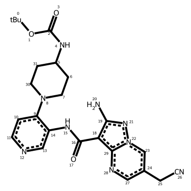 CC(C)(C)OC(=O)NC1CCN(c2ccncc2NC(=O)c2c(N)nn3cc(CC#N)cnc23)CC1